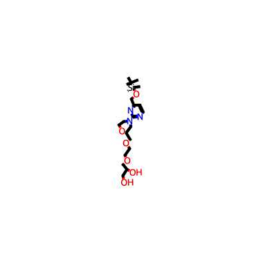 CC(C)(C)[Si](C)(C)OCc1ccnc(N2CCOC(COCCOCC(O)CO)C2)n1